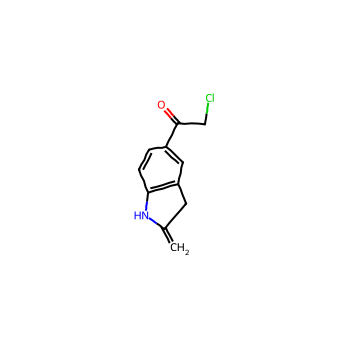 C=C1Cc2cc(C(=O)CCl)ccc2N1